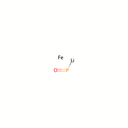 [Fe].[Li][P]=O